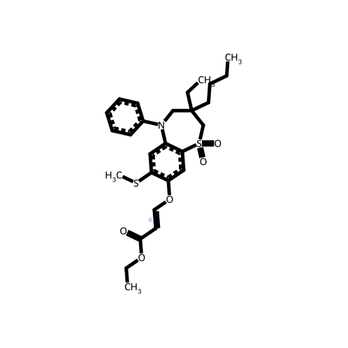 CCCCC1(CC)CN(c2ccccc2)c2cc(SC)c(O/C=C/C(=O)OCC)cc2S(=O)(=O)C1